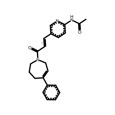 CC(=O)Nc1ccc(/C=C/C(=O)N2CC=C(c3ccccc3)CCC2)cn1